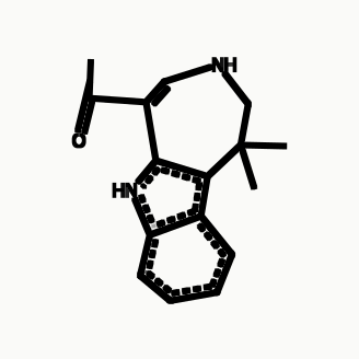 CC(=O)C1=CNCC(C)(C)c2c1[nH]c1ccccc21